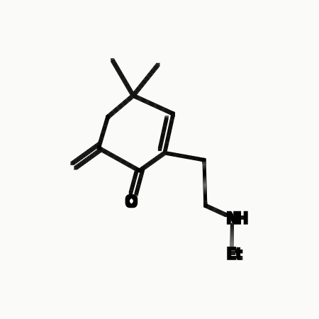 C=C1CC(C)(C)C=C(CCNCC)C1=O